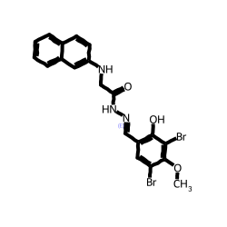 COc1c(Br)cc(/C=N/NC(=O)CNc2ccc3ccccc3c2)c(O)c1Br